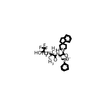 CC(C)(N)C(=O)N[C@@H](C[S@+]([O-])c1ccccc1)C(=O)N1CCC2(CCc3ccccc32)CC1.O=C(O)C(F)(F)F